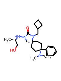 C[C@H](CO)NN1C[C@]2(CC[C@](c3ccccc3)(N(C)C)CC2)N(CC2CCC2)C1=O